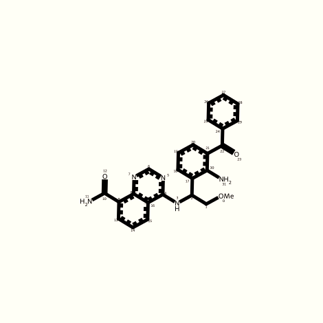 COCC(Nc1ncnc2c(C(N)=O)cccc12)c1cccc(C(=O)c2ccccc2)c1N